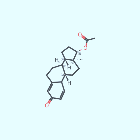 CC(=O)O[C@H]1CC[C@H]2[C@@H]3CCC4=CC(=O)C=CC4[C@H]3CC[C@]12C